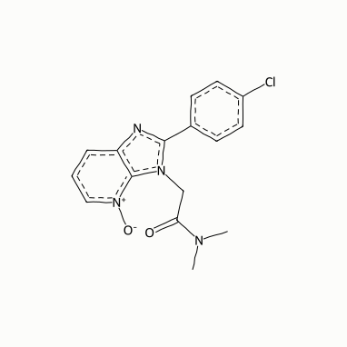 CN(C)C(=O)Cn1c(-c2ccc(Cl)cc2)nc2ccc[n+]([O-])c21